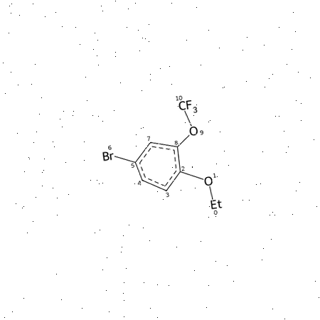 CCOc1ccc(Br)cc1OC(F)(F)F